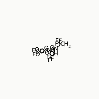 C=C(CCNC(=O)c1ccc(C(F)(F)F)cc1NS(=O)(=O)c1ccc(S(=O)(=O)C(F)F)cc1)C(F)(F)F